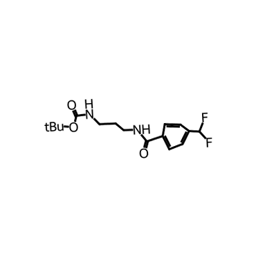 CC(C)(C)OC(=O)NCCCNC(=O)c1ccc(C(F)F)cc1